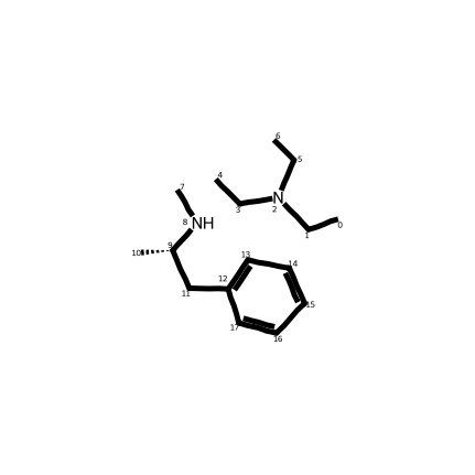 CCN(CC)CC.CN[C@@H](C)Cc1ccccc1